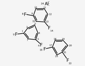 Fc1cccc(F)c1.Fc1cccc(F)c1.Fc1cccc(F)c1.[Al]